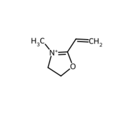 C=CC1=[N+](C)CCO1